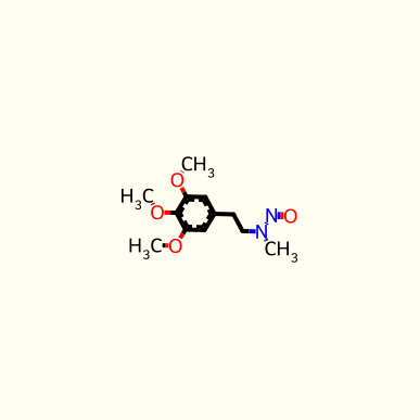 COc1cc(CCN(C)N=O)cc(OC)c1OC